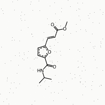 COC(=O)/C=C/c1ccc(C(=O)NC(C)C)o1